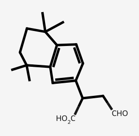 CC1(C)CCC(C)(C)c2cc(C(CC=O)C(=O)O)ccc21